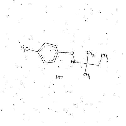 CCC(C)(C)POc1ccc(C)cc1.Cl